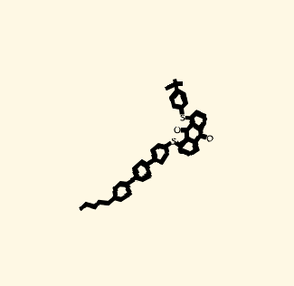 CCCCCC1CCC(c2ccc(-c3ccc(Sc4cccc5c4C(=O)c4c(Sc6ccc(C(C)(C)C)cc6)cccc4C5=O)cc3)cc2)CC1